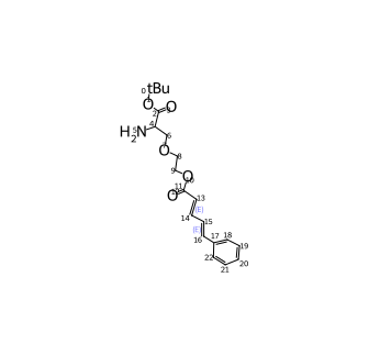 CC(C)(C)OC(=O)C(N)COCCOC(=O)/C=C/C=C/c1ccccc1